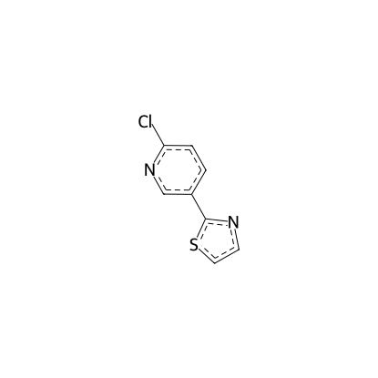 Clc1ccc(-c2nccs2)cn1